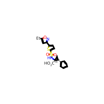 CCc1cc(-c2ccc(S(=O)(=O)N[C@@]3(C(=O)O)C[C@@H]3c3ccccc3)s2)no1